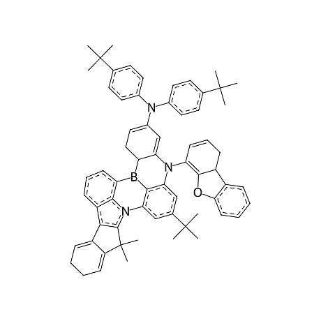 CC(C)(C)c1ccc(N(C2=CCC3B4c5c(cc(C(C)(C)C)cc5-n5c6c(c7cccc4c75)C4=CCCC=C4C6(C)C)N(C4=C5Oc6ccccc6C5CC=C4)C3=C2)c2ccc(C(C)(C)C)cc2)cc1